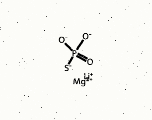 O=P([O-])([O-])[S-].[Li+].[Mg+2]